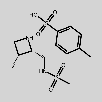 C[C@@H]1CN[C@@H]1CNS(C)(=O)=O.Cc1ccc(S(=O)(=O)O)cc1